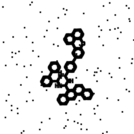 NC(NC(NCc1ccc(-c2ccc3c(c2)-c2cccc4cccc(c24)O3)cc1)c1c2ccccc2cc2c1ccc1ccccc12)c1ccccc1-c1ccccc1